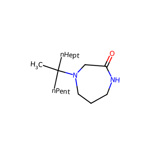 CCCCCCCC(C)(CCCCC)N1CCCNC(=O)C1